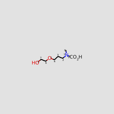 CN(CCCOCCO)C(=O)O